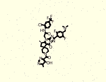 Cc1ncnc(C(=O)N2CCC3(CC2)C[C@@H](C)c2c3c(=O)n3nc(-c4cc(F)c(CN(C)C)cc4F)nc3n2CC(=O)Nc2ccc(C(F)(F)F)cc2Cl)c1O